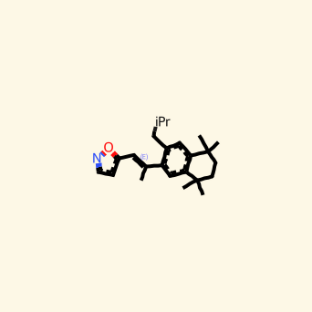 C/C(=C\c1ccno1)c1cc2c(cc1CC(C)C)C(C)(C)CCC2(C)C